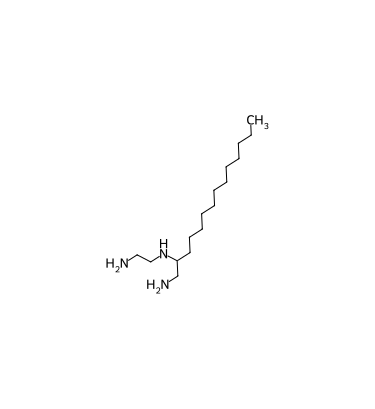 CCCCCCCCCCCCC(CN)NCCN